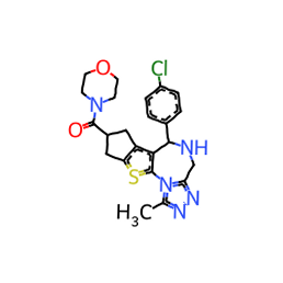 Cc1nnc2n1-c1sc3c(c1C(c1ccc(Cl)cc1)NC2)CC(C(=O)N1CCOCC1)C3